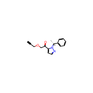 C#CCOCC(=O)c1ccnn1[C@H](C)c1ccccc1